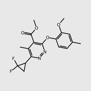 COC(=O)c1c(Oc2ccc(C)cc2OC)nnc(C2CC2(F)F)c1C